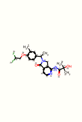 Cc1cc(C(C)N2Cc3c(ccnc3NC(=O)C(C)(C)O)C2=O)ccc1OCC(F)F